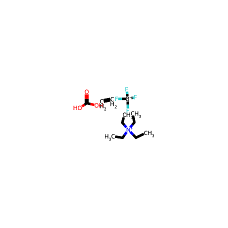 C=C.CC[N+](CC)(CC)CC.F[B-](F)(F)F.O=C(O)O